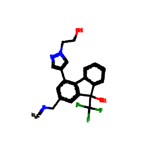 C=NCc1cc(-c2cnn(CCO)c2)c2c(c1)C(O)(C(F)(F)F)c1ccccc1-2